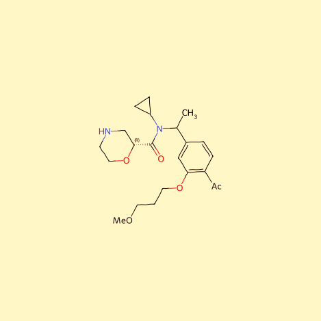 COCCCOc1cc(C(C)N(C(=O)[C@H]2CNCCO2)C2CC2)ccc1C(C)=O